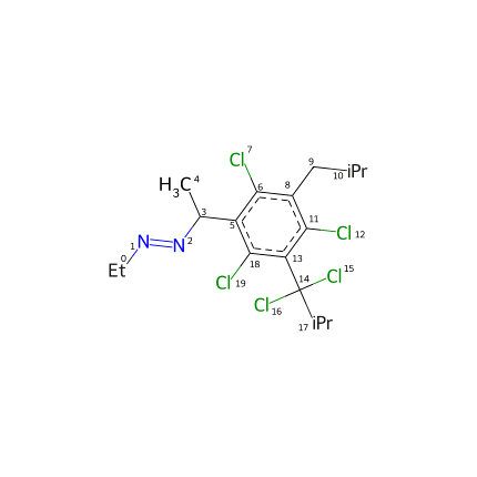 CCN=NC(C)c1c(Cl)c(CC(C)C)c(Cl)c(C(Cl)(Cl)C(C)C)c1Cl